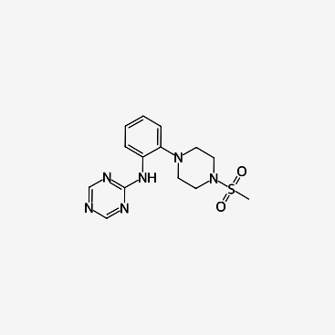 CS(=O)(=O)N1CCN(c2ccccc2Nc2ncncn2)CC1